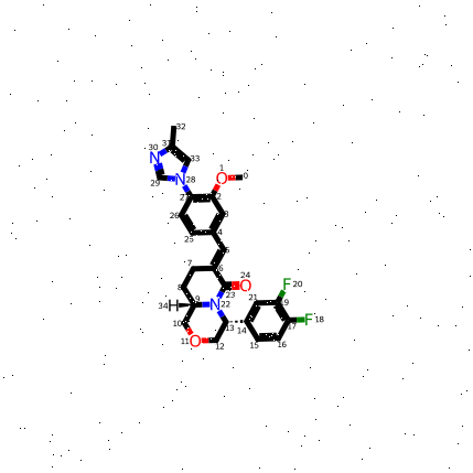 COc1cc(/C=C2\CC[C@H]3COC[C@@H](c4ccc(F)c(F)c4)N3C2=O)ccc1-n1cnc(C)c1